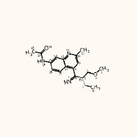 CC[C@@H](COC)C(=N)c1cc(C)nc2cc(NC(C)=O)ccc12